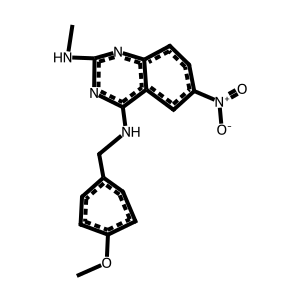 CNc1nc(NCc2ccc(OC)cc2)c2cc([N+](=O)[O-])ccc2n1